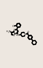 Bc1cnn2c(NC3CCN(C(=O)c4ccc(C5CCCCC5)cc4)CC3)cc(-c3ccccc3Cl)nc12